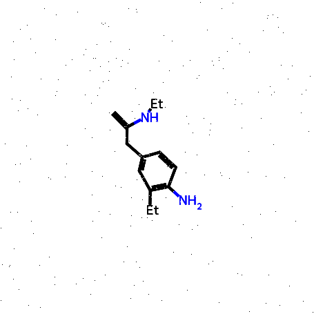 C=C(Cc1ccc(N)c(CC)c1)NCC